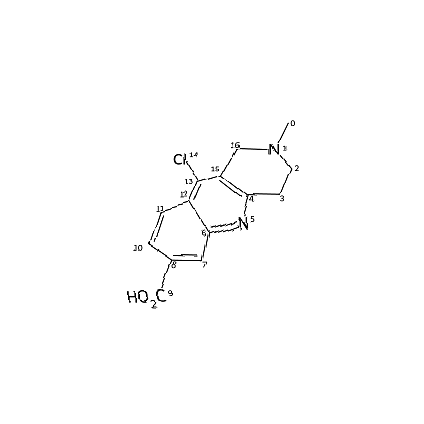 CN1CCc2nc3cc(C(=O)O)ccc3c(Cl)c2C1